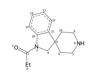 CCC(=O)N1CC2(CCNCC2)c2ccccc21